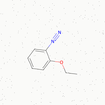 CCOc1ccccc1[N+]#N